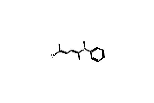 C/C(N)=C\C=C(/C)N(C)c1ccccc1